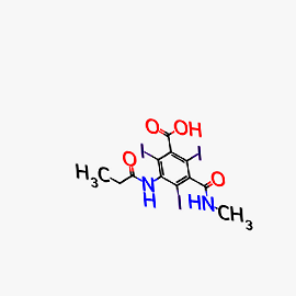 CCC(=O)Nc1c(I)c(C(=O)O)c(I)c(C(=O)NC)c1I